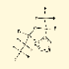 FC(F)(F)C(F)(OC(F)(F)C(F)(F)C(F)(F)F)c1cccs1